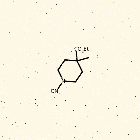 CCOC(=O)C1(C)CCN(N=O)CC1